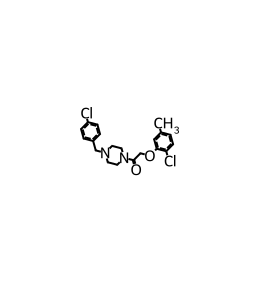 Cc1ccc(Cl)c(OCC(=O)N2CCN(Cc3ccc(Cl)cc3)CC2)c1